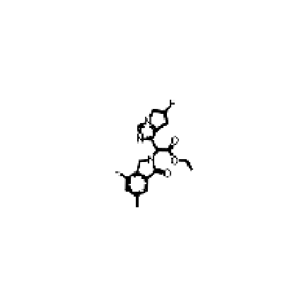 CCOC(=O)C(c1ncn2c1CC(F)C2)N1Cc2c(F)cc(C)cc2C1=O